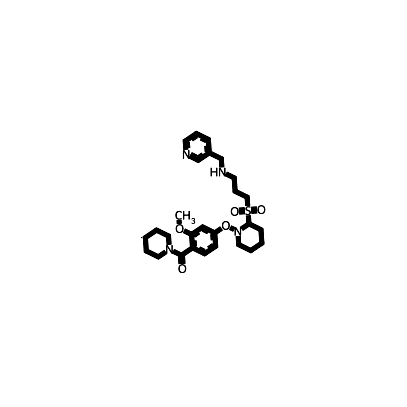 COc1cc(ON2CCCCC2S(=O)(=O)CCCNCc2cccnc2)ccc1C(=O)N1CC[CH]CC1